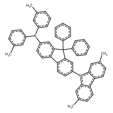 Cc1cccc(N(c2cccc(C)c2)c2ccc3c(c2)C(c2ccccc2)(c2ccccc2)c2cc(-n4c5cc(C)ccc5c5ccc(C)cc54)ccc2-3)c1